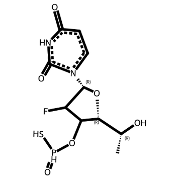 C[C@@H](O)[C@H]1O[C@@H](n2ccc(=O)[nH]c2=O)C(F)C1O[PH](=O)S